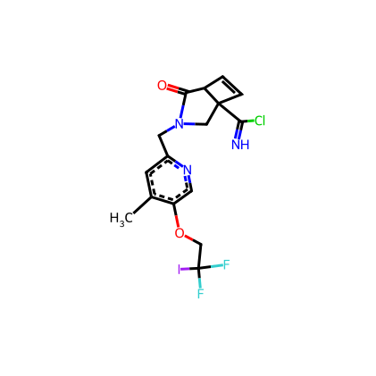 Cc1cc(CN2CC3(C(=N)Cl)C=CC3C2=O)ncc1OCC(F)(F)I